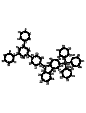 c1ccc(-c2nc(-c3ccccc3)nc(-c3ccc(-n4c5ccccc5c5cc(S(c6ccccc6)(c6ccccc6)c6ccccc6)ccc54)cc3)n2)cc1